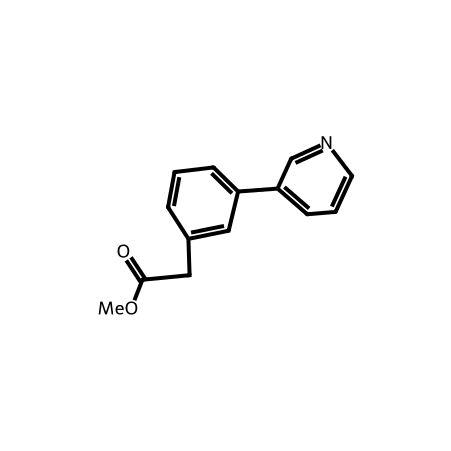 COC(=O)Cc1cccc(-c2cccnc2)c1